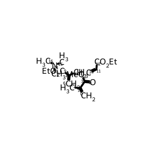 C=C(C)C(=O)OC.C=C(C)C(=O)OCC.C=CC(=O)OCC.CN(C)C